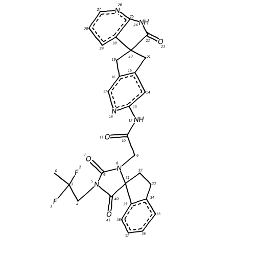 CC(F)(F)CN1C(=O)N(CC(=O)Nc2cc3c(cn2)CC2(C3)C(=O)Nc3ncccc32)C2(CCc3ccccc32)C1=O